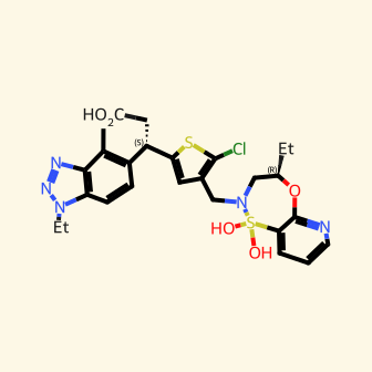 CC[C@@H]1CN(Cc2cc([C@@H](CC(=O)O)c3ccc4c(nnn4CC)c3C)sc2Cl)S(O)(O)c2cccnc2O1